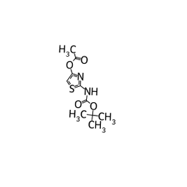 CC(=O)Oc1csc(NC(=O)OC(C)(C)C)n1